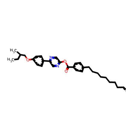 C=CCCCCCCCCc1ccc(C(=O)Oc2cnc(-c3ccc(OCC(C)CC)cc3)cn2)cc1